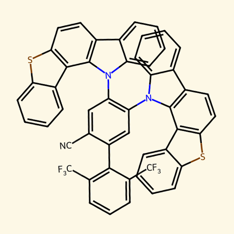 N#Cc1cc(-n2c3ccccc3c3ccc4sc5ccccc5c4c32)c(-n2c3ccccc3c3ccc4sc5ccccc5c4c32)cc1-c1c(C(F)(F)F)cccc1C(F)(F)F